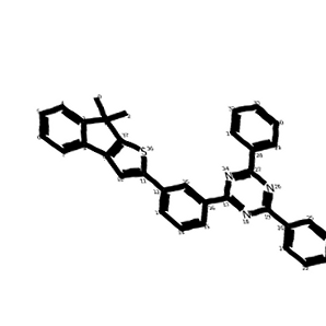 CC1(C)c2ccccc2-c2cc(-c3cccc(-c4nc(-c5ccccc5)nc(-c5ccccc5)n4)c3)sc21